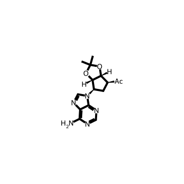 CC(=O)[C@H]1C[C@@H](n2cnc3c(N)ncnc32)[C@@H]2OC(C)(C)O[C@@H]21